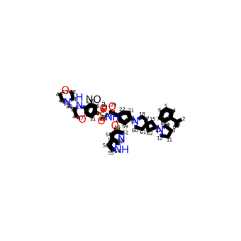 C=C(C)c1ccccc1[C@@H]1CCCN1C1CC2(CCN(c3ccc(C(=O)NS(=O)(=O)c4cc5c(c([N+](=O)[O-])c4)N[C@@H](CN4CCOCC4)CO5)c(Oc4cnc5[nH]ccc5c4)c3)CC2)C1